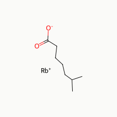 CC(C)CCCCC(=O)[O-].[Rb+]